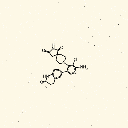 Nc1ncc(-c2ccc3c(c2)CCC(=O)N3)c(N2CCC3(CC2)CC(=O)NC3=O)c1Cl